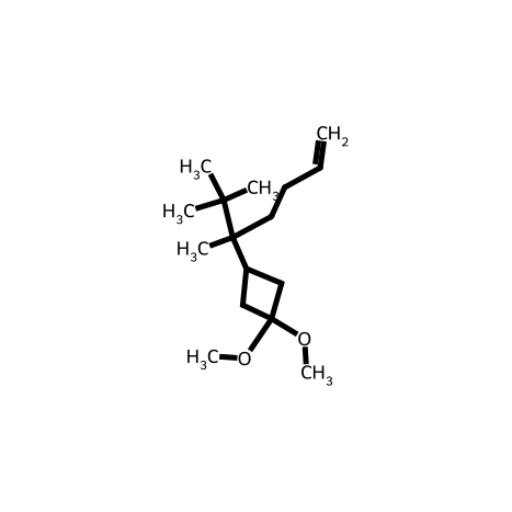 C=CCCC(C)(C1CC(OC)(OC)C1)C(C)(C)C